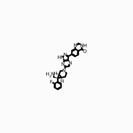 NC[C@]1(c2ccccc2F)[C@@H]2CCN(c3cnc4c(-c5ccc6c(=O)[nH]cnc6c5)n[nH]c4n3)C[C@@H]21